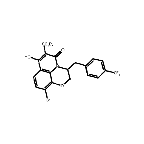 CCOC(=O)c1c(O)c2ccc(Br)c3c2n(c1=O)C(Cc1ccc(C(F)(F)F)cc1)CO3